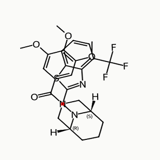 COc1cc(C(=O)N2C[C@H]3CCC[C@@H](C2)N3Cc2nc3c(C(F)(F)F)cccc3s2)cc(OC)c1OC